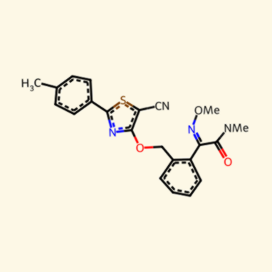 CNC(=O)C(=NOC)c1ccccc1COc1nc(-c2ccc(C)cc2)sc1C#N